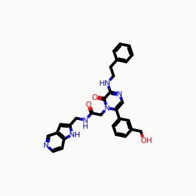 O=C(Cn1c(-c2cccc(CO)c2)cnc(NCCc2ccccc2)c1=O)NCc1cc2cnccc2[nH]1